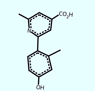 Cc1cc(C(=O)O)cc(-c2ccc(O)cc2C)n1